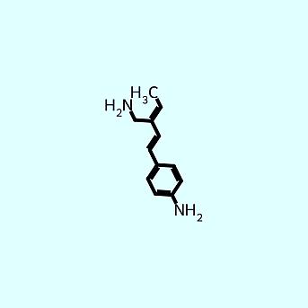 C/C=C(/C=C/c1ccc(N)cc1)CN